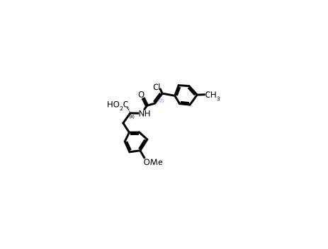 COc1ccc(C[C@@H](NC(=O)/C=C(\Cl)c2ccc(C)cc2)C(=O)O)cc1